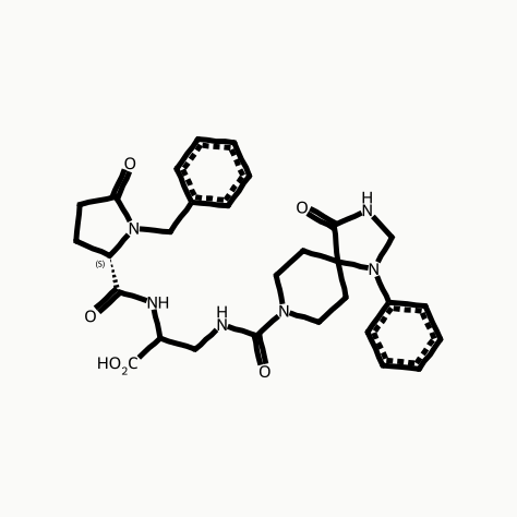 O=C(O)C(CNC(=O)N1CCC2(CC1)C(=O)NCN2c1ccccc1)NC(=O)[C@@H]1CCC(=O)N1Cc1ccccc1